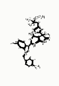 CC1CCC(Cn2nc(-c3nc(N)c4c(n3)NC(=O)C4(C)c3nc(CC(C)(C)C(=O)O)cs3)c3ccc(F)cc32)CC1